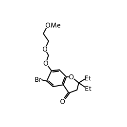 CCC1(CC)CC(=O)c2cc(Br)c(OCOCCOC)cc2O1